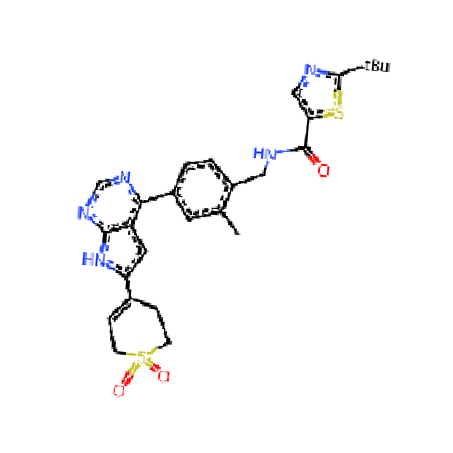 Cc1cc(-c2ncnc3[nH]c(C4=CCS(=O)(=O)CC4)cc23)ccc1CNC(=O)c1cnc(C(C)(C)C)s1